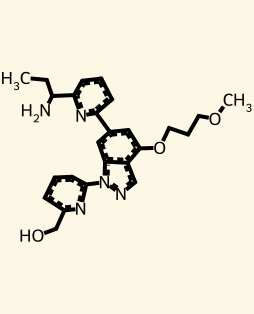 CCC(N)c1cccc(-c2cc(OCCCOC)c3cnn(-c4cccc(CO)n4)c3c2)n1